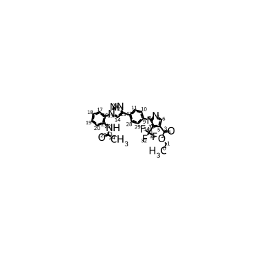 CCOC(=O)c1cnn(-c2ccc(-c3cn(-c4ccccc4NC(C)=O)nn3)cc2)c1C(F)(F)F